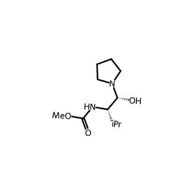 COC(=O)N[C@@H](C(C)C)[C@@H](O)N1CCCC1